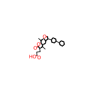 Cc1c(CCC(=O)O)c(=O)oc2c(C)c3occ(-c4ccc(-c5ccccc5)cc4)c3cc12